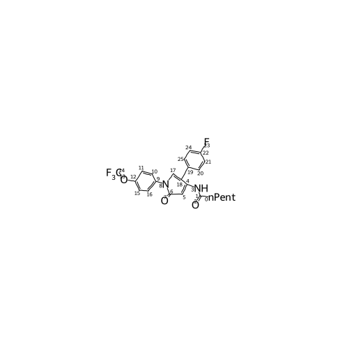 CCCCCC(=O)Nc1cc(=O)n(-c2ccc(OC(F)(F)F)cc2)cc1-c1ccc(F)cc1